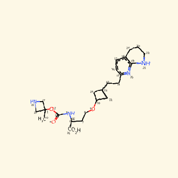 CC1(OC(=O)N[C@@H](CCOC2CC(CCc3ccc4c(n3)NCCC4)C2)C(=O)O)CNC1